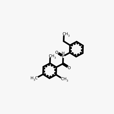 CCc1ccccc1[PH](=O)C(=O)c1c(C)cc(C)cc1C